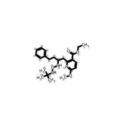 CCOC(=O)c1ccc(OC)nc1CC(CCc1ccccc1)NONC(C)(C)C